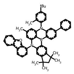 Cc1cc2c3c(c1)N(c1cccc4c1oc1ccccc14)c1cc4c(cc1B3c1ccc(-c3ccccc3)cc1N2c1ccc(C(C)(C)C)cc1C)C(C)(C)CC4(C)C